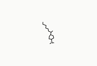 CCCCCCC(C)C1CCC(N(C)C)CC1